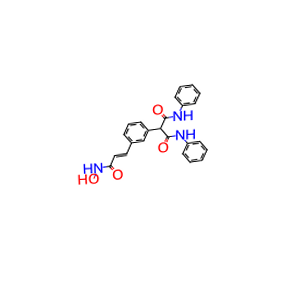 O=C(/C=C/c1cccc(C(C(=O)Nc2ccccc2)C(=O)Nc2ccccc2)c1)NO